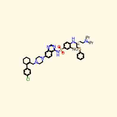 CC(C)N(CC[C@H](CSc1ccccc1)Nc1ccc(S(=O)(=O)Nc2ncnc3cc(N4CCN(CC5=C(c6ccc(Cl)cc6)CCCC5)CC4)ccc23)cc1[N+](=O)[O-])C(C)C